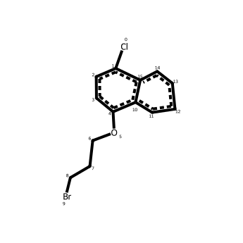 Clc1ccc(OCCCBr)c2ccccc12